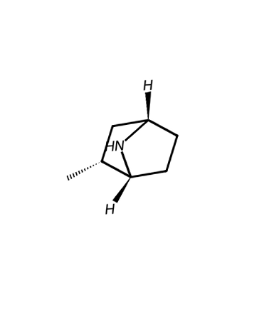 C[C@@H]1C[C@@H]2CC[C@H]1N2